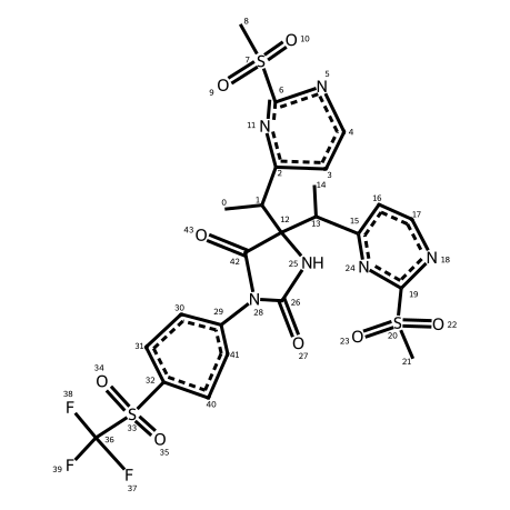 CC(c1ccnc(S(C)(=O)=O)n1)C1(C(C)c2ccnc(S(C)(=O)=O)n2)NC(=O)N(c2ccc(S(=O)(=O)C(F)(F)F)cc2)C1=O